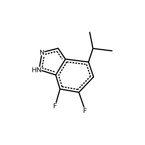 CC(C)c1cc(F)c(F)c2[nH]ncc12